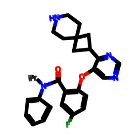 CC(C)N(C(=O)c1cc(F)ccc1Oc1cncnc1C1CC2(CCNCC2)C1)c1ccccc1